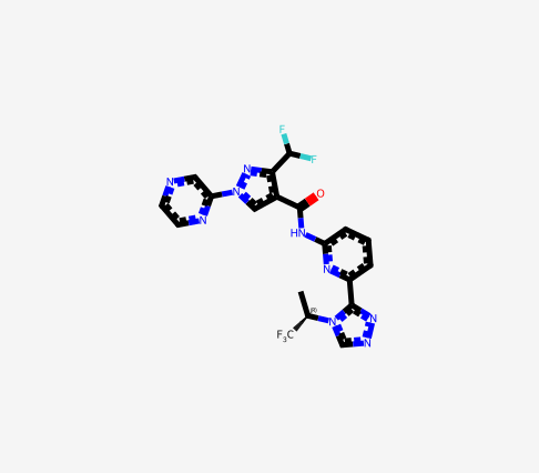 C[C@@H](n1cnnc1-c1cccc(NC(=O)c2cn(-c3cnccn3)nc2C(F)F)n1)C(F)(F)F